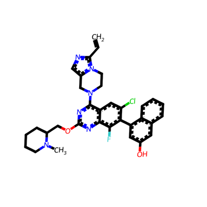 C=Cc1ncc2n1CCN(c1nc(OCC3CCCCN3C)nc3c(F)c(-c4cc(O)cc5ccccc45)c(Cl)cc13)C2